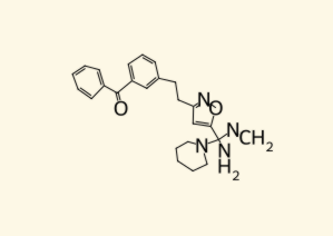 C=NC(N)(c1cc(CCc2cccc(C(=O)c3ccccc3)c2)no1)N1CCCCC1